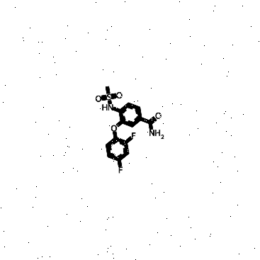 CS(=O)(=O)Nc1ccc(C(N)=O)cc1Oc1ccc(F)cc1F